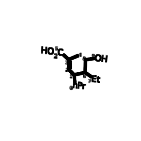 CCCC(/C=C(\C)C(=O)O)C(CC)CO